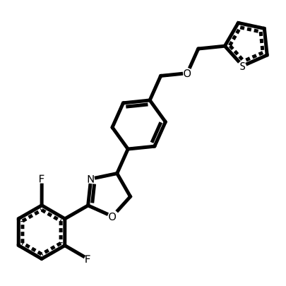 Fc1cccc(F)c1C1=NC(C2C=CC(COCc3cccs3)=CC2)CO1